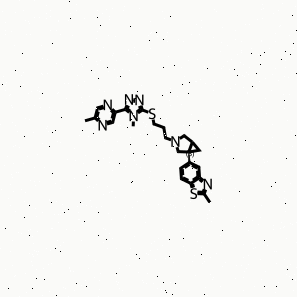 Cc1cnc(-c2nnc(SCCCN3CC4C[C@]4(c4ccc5sc(C)nc5c4)C3)n2C)cn1